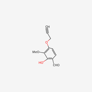 C#CCOc1ccc(C=O)c(O)c1OC